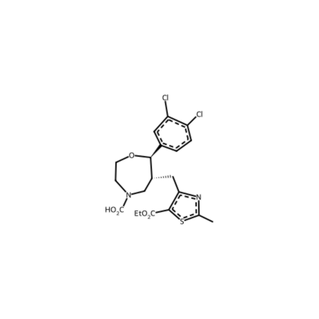 CCOC(=O)c1sc(C)nc1C[C@@H]1CN(C(=O)O)CCO[C@H]1c1ccc(Cl)c(Cl)c1